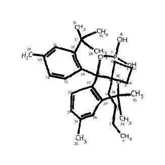 CCCCC1(C(OP(O)O)(c2ccc(C)cc2C(C)(C)C)c2ccc(C)cc2C(C)(C)C)CCC1